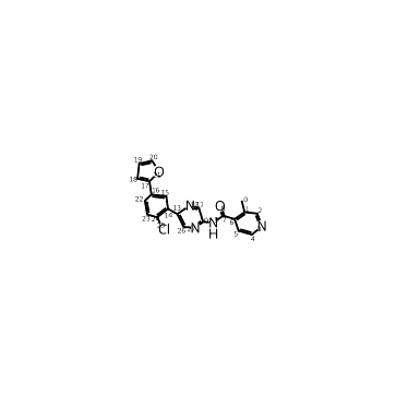 Cc1cnccc1C(=O)Nc1cnc(-c2cc(-c3ccco3)ccc2Cl)cn1